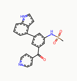 CS(=O)(=O)Nc1cc(C(=O)c2ccncc2)cc(-c2cccc3[nH]ccc23)c1